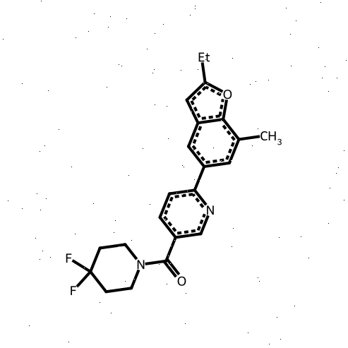 CCc1cc2cc(-c3ccc(C(=O)N4CCC(F)(F)CC4)cn3)cc(C)c2o1